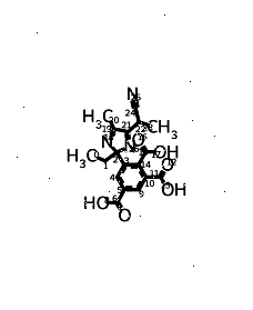 CCC1(c2cc(C(=O)O)cc(C(=O)O)c2C(=O)O)N=C(C)C(C(C)C#N)=N1